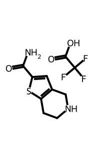 NC(=O)c1cc2c(s1)CCNC2.O=C(O)C(F)(F)F